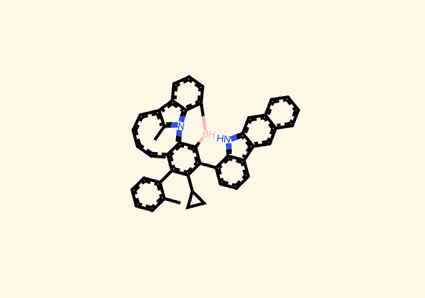 Cc1ccccc1-c1c(C2CC2)c(-c2cccc3c2[nH]c2cc4ccccc4cc23)c2c3c1ccccc1c(C)n3c3c(cccc13)B2